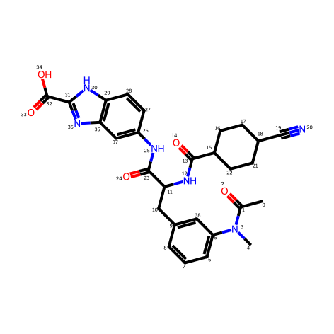 CC(=O)N(C)c1cccc(CC(NC(=O)C2CCC(C#N)CC2)C(=O)Nc2ccc3[nH]c(C(=O)O)nc3c2)c1